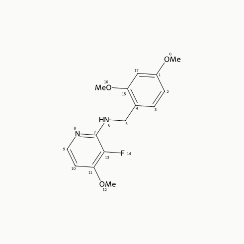 COc1ccc(CNc2nccc(OC)c2F)c(OC)c1